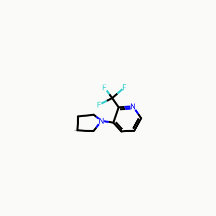 FC(F)(F)c1ncccc1N1C[CH]CC1